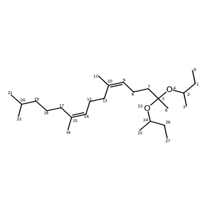 CCC(C)OC(C)(CCC=C(C)CCC=C(C)CCCC(C)C)OC(C)CC